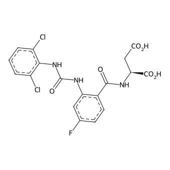 O=C(O)C[C@H](NC(=O)c1ccc(F)cc1NC(=O)Nc1c(Cl)cccc1Cl)C(=O)O